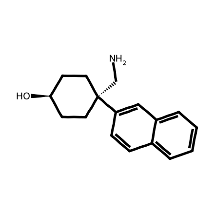 NC[C@]1(c2ccc3ccccc3c2)CC[C@@H](O)CC1